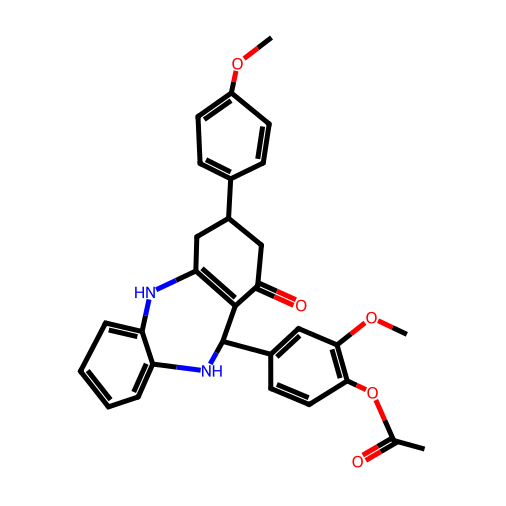 COc1ccc(C2CC(=O)C3=C(C2)Nc2ccccc2NC3c2ccc(OC(C)=O)c(OC)c2)cc1